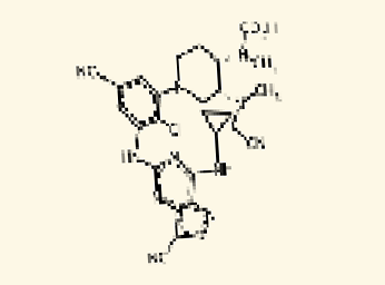 CN(CC#N)[C@@H]1CN(c2cc(C#N)cc(Nc3nc(NC4CC4)c4ncc(C#N)n4n3)c2Cl)CC[C@@H]1N(C)C(=O)O